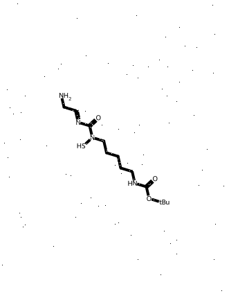 CC(C)(C)OC(=O)NCCCCCN(S)C(=O)N=CCN